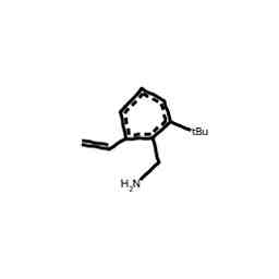 C=Cc1cccc(C(C)(C)C)c1CN